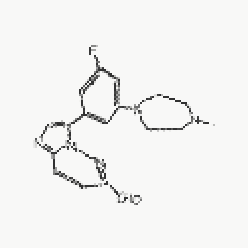 CN1CCN(c2cc(F)cc(-c3cnc4ccc(C=O)nn34)c2)CC1